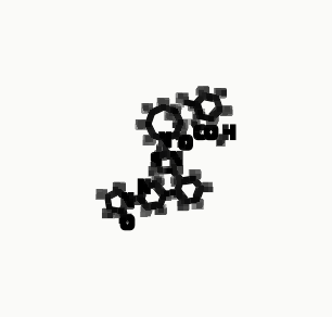 O=C(O)C[C@@H]1C(=O)N(c2nc(-c3ccccc3-c3ccc(N4CCCC4=O)nc3)cs2)CCCC[C@@H]1Cc1ccccc1